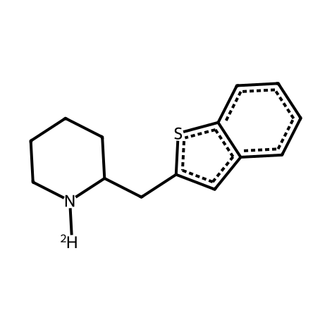 [2H]N1CCCCC1Cc1cc2ccccc2s1